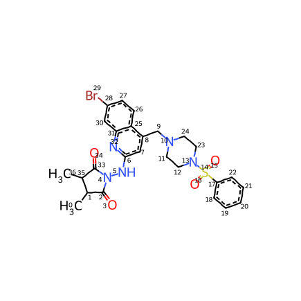 CC1C(=O)N(Nc2cc(CN3CCN(S(=O)(=O)c4ccccc4)CC3)c3ccc(Br)cc3n2)C(=O)C1C